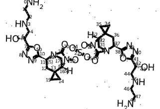 NCCNC[C@@H](O)c1nnc([C@@H]2CC3(CC3)[C@@H]3CN2C(=O)N3OS(=O)(=O)ON2C(=O)N3C[C@H]2C2(CC2)C[C@H]3c2nnc([C@H](O)CNCCN)o2)o1